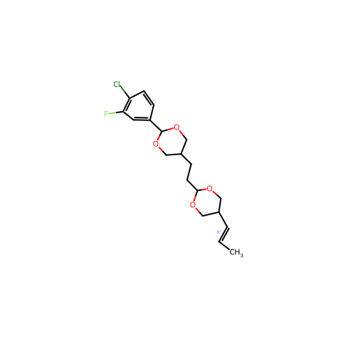 C/C=C/C1COC(CCC2COC(c3ccc(Cl)c(F)c3)OC2)OC1